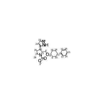 COC(=O)N1C(CO[C@H]2CC[C@@H](c3ccccc3)CC2)C(c2ccn[nH]2)C[C@H]1C